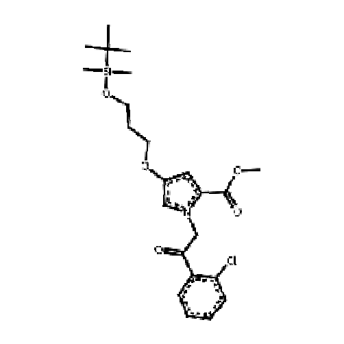 COC(=O)c1cc(OCCCO[Si](C)(C)C(C)(C)C)cn1CC(=O)c1ccccc1Cl